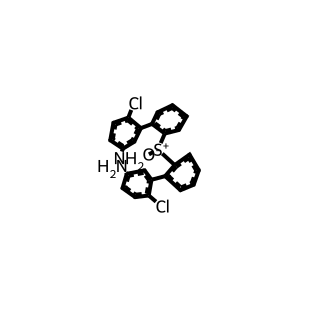 Nc1ccc(Cl)c(-c2ccccc2[S+]([O-])c2ccccc2-c2cc(N)ccc2Cl)c1